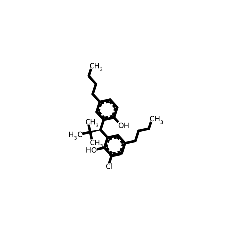 CCCCc1ccc(O)c([C@@H](c2cc(CCCC)cc(Cl)c2O)C(C)(C)C)c1